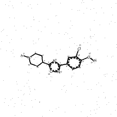 CC(=O)N1CCC(c2nc(-c3ccc(OC(C)C)c(Cl)c3)no2)CC1